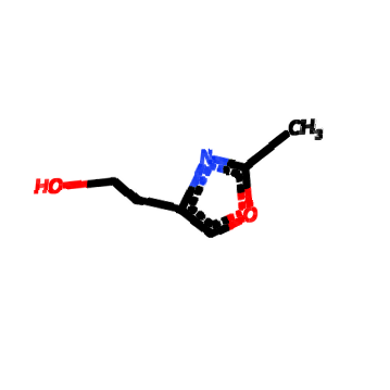 Cc1nc(CCO)co1